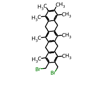 Cc1c(C)c(C)c2c(c1C)Cc1c(C)c3c(c(C)c1C2)Cc1c(C)c(CBr)c(CBr)c(C)c1C3